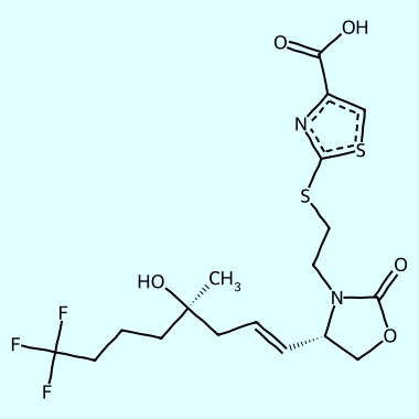 C[C@](O)(CC=C[C@H]1COC(=O)N1CCSc1nc(C(=O)O)cs1)CCCC(F)(F)F